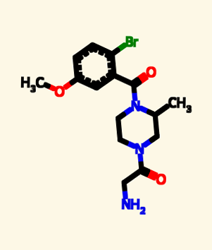 COc1ccc(Br)c(C(=O)N2CCN(C(=O)CN)CC2C)c1